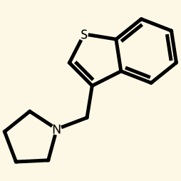 c1ccc2c(CN3CCCC3)csc2c1